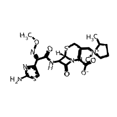 CO/N=C(\C(=O)NC1C(=O)N2C(C(=O)[O-])=C(C[N+]3(C)CCCC3C)CS[C@@H]12)c1csc(N)n1